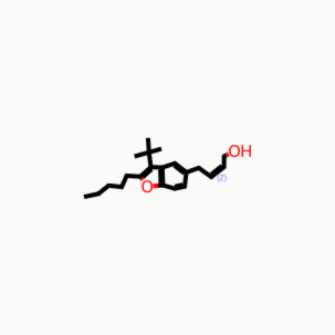 CCCCCc1oc2ccc(C/C=C\CO)cc2c1C(C)(C)C